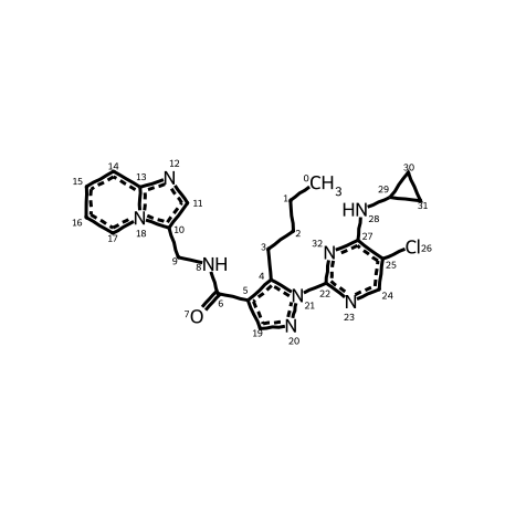 CCCCc1c(C(=O)NCc2cnc3ccccn23)cnn1-c1ncc(Cl)c(NC2CC2)n1